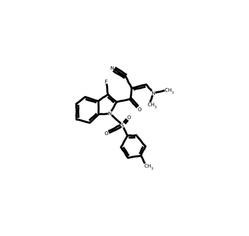 Cc1ccc(S(=O)(=O)n2c(C(=O)/C(C#N)=C\N(C)C)c(F)c3ccccc32)cc1